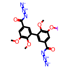 COc1cc(C(=O)N=[N+]=[N-])cc(-c2cc(C(=O)N=[N+]=[N-])cc(OI)c2OC)c1OC